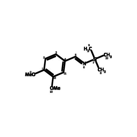 COc1ccc(C=N[Si](C)(C)C)cc1OC